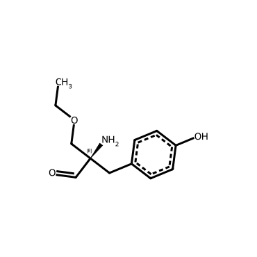 CCOC[C@@](N)(C=O)Cc1ccc(O)cc1